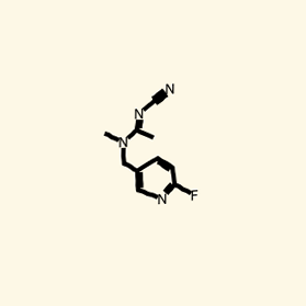 C/C(=N\C#N)N(C)Cc1ccc(F)nc1